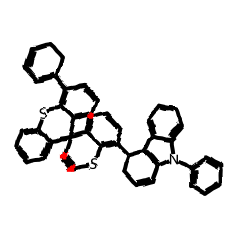 C1=CCCC(c2cccc3c2Sc2ccccc2C32c3ccccc3Sc3c(C4CC=Cc5c4c4ccccc4n5-c4ccccc4)cccc32)=C1